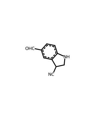 N#CC1CNc2ccc(C=O)cc21